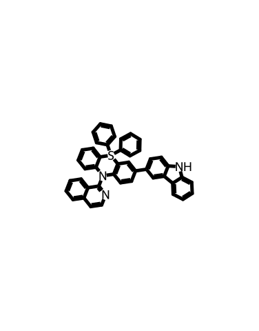 c1ccc(S2(c3ccccc3)c3ccccc3N(c3nccc4ccccc34)c3ccc(-c4ccc5[nH]c6ccccc6c5c4)cc32)cc1